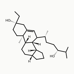 CC[C@]1(O)CC[C@@]2(C)C(=CC([C@H](C)CC[C@@H](O)C(C)C)[C@@H]3[C@@H]4CCC[C@@H]4CC[C@@H]32)C1